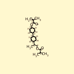 C=C(C)C(=O)OCC(C)c1ccc(-c2ccc(OC(=O)C(=C)C)cc2)cc1